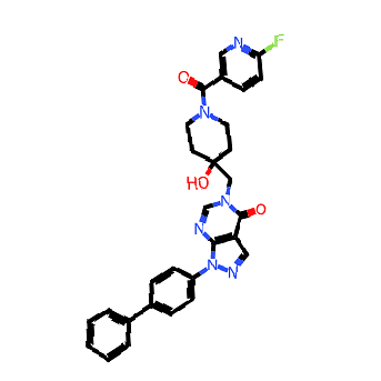 O=C(c1ccc(F)nc1)N1CCC(O)(Cn2cnc3c(cnn3-c3ccc(-c4ccccc4)cc3)c2=O)CC1